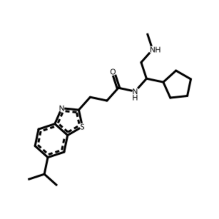 CNCC(NC(=O)CCc1nc2ccc(C(C)C)cc2s1)C1CCCC1